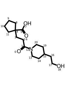 O=C(CCC1(C(=O)O)CCCC1)N1CCC(CCO)CC1